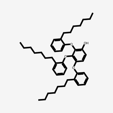 CCCCCCCc1ccccc1Oc1ccc(O)c(Oc2ccccc2CCCCCCC)c1Oc1ccccc1CCCCCCC